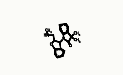 CNCC1Oc2ccccc2C1N1C(=O)C(C)(C)c2ccccc21